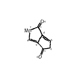 O=C1CC=C2[C](=O)[Mn][CH]=C12